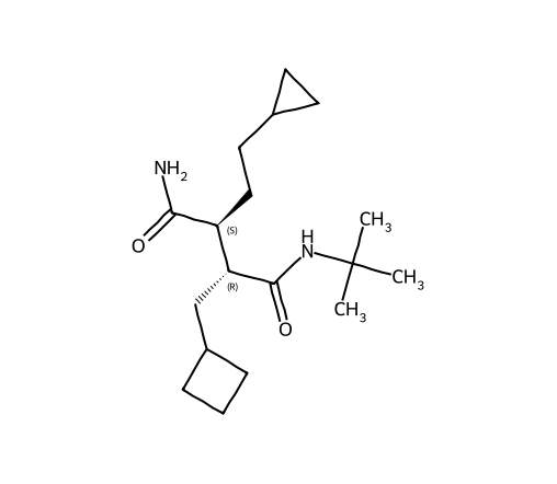 CC(C)(C)NC(=O)[C@H](CC1CCC1)[C@H](CCC1CC1)C(N)=O